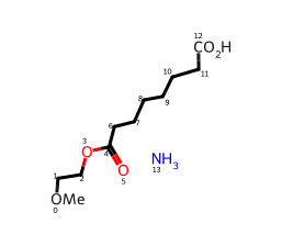 COCCOC(=O)CCCCCCC(=O)O.N